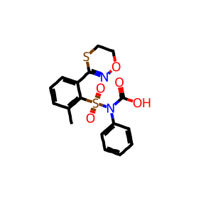 Cc1cccc(C2=NOCCS2)c1S(=O)(=O)N(C(=O)O)c1ccccc1